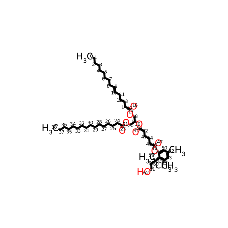 CCCCCCCCCCCCCCCC(=O)OCC(COC(=O)CCCCCCCCCCCCCCC)OC(=O)CCCCC(=O)Oc1cc(C)cc(C)c1C(C)(C)CCO